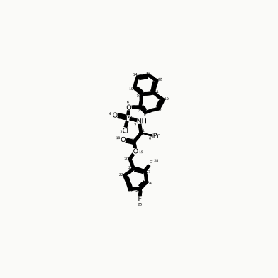 CC(C)[C@H](NP(=O)(Cl)Oc1cccc2ccccc12)C(=O)OCc1ccc(F)cc1F